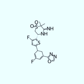 CC1(C)C(=N)N[C@H](c2sc(C3C=C(F)C=C(c4nnco4)C3)cc2F)CS1(=O)=O